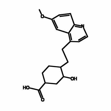 COc1ccc2nccc(CCC3CCC(C(=O)O)CC3O)c2c1